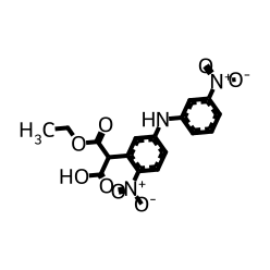 CCOC(=O)C(C(=O)O)c1cc(Nc2cccc([N+](=O)[O-])c2)ccc1[N+](=O)[O-]